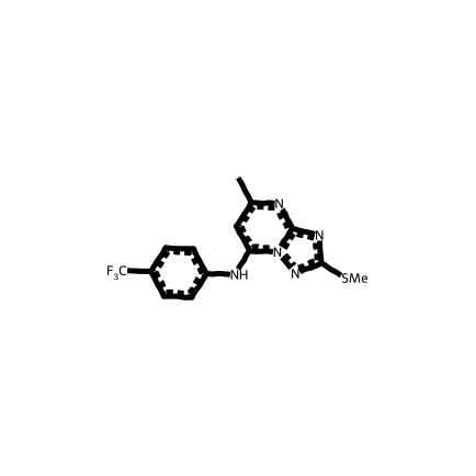 CSc1nc2nc(C)cc(Nc3ccc(C(F)(F)F)cc3)n2n1